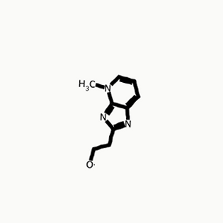 Cn1cccc2nc(CC[O])nc1-2